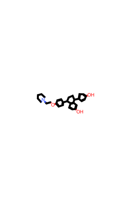 Oc1ccc(C2CCC(c3ccc(OCCN4CCCCC4)cc3)c3ccc(O)cc32)cc1